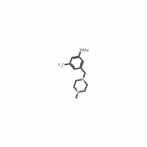 CNc1cc(CN2CCN(C)CC2)cc(C(F)(F)F)c1